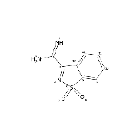 N=C(N)C1=NS(=O)(=O)c2ccccc21